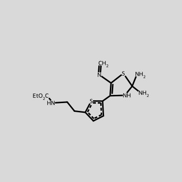 C=NC1=C(c2ccc(CCNC(=O)OCC)s2)NC(N)(N)S1